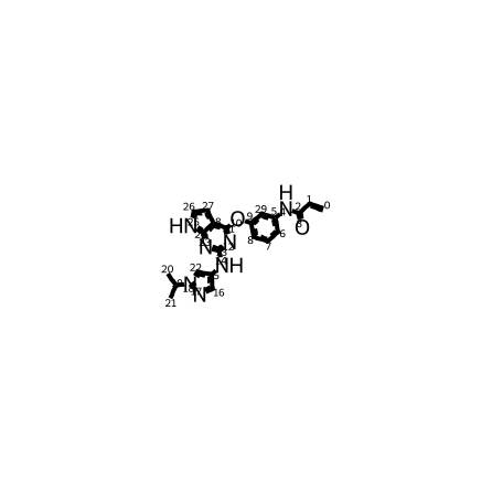 C=CC(=O)Nc1cccc(Oc2nc(Nc3cnn(C(C)C)c3)nc3[nH]ccc23)c1